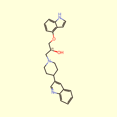 O[C@H](COc1cccc2[nH]ccc12)CN1CCC(c2cnc3ccccc3c2)CC1